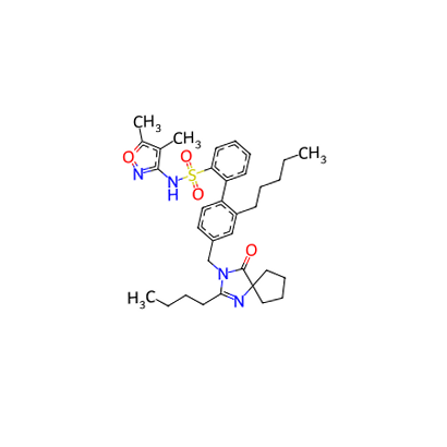 CCCCCc1cc(CN2C(=O)C3(CCCC3)N=C2CCCC)ccc1-c1ccccc1S(=O)(=O)Nc1noc(C)c1C